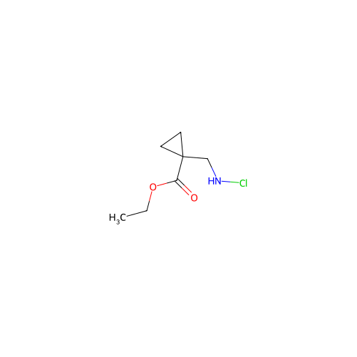 CCOC(=O)C1(CNCl)CC1